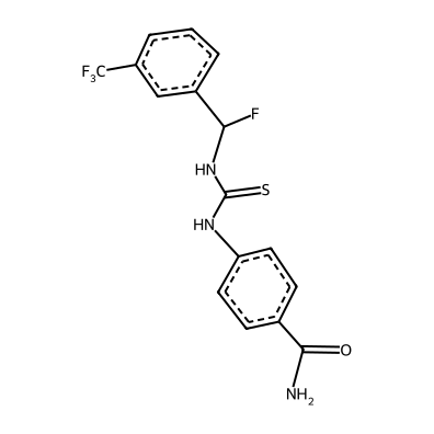 NC(=O)c1ccc(NC(=S)NC(F)c2cccc(C(F)(F)F)c2)cc1